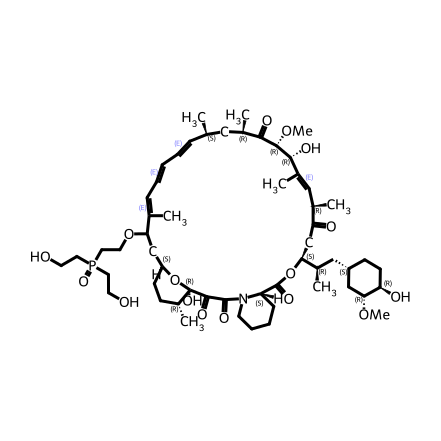 CO[C@@H]1C[C@H](C[C@@H](C)[C@@H]2CC(=O)[C@H](C)/C=C(\C)[C@@H](O)[C@@H](OC)C(=O)[C@H](C)C[C@H](C)/C=C/C=C/C=C(\C)C(OCCP(=O)(CCO)CCO)C[C@@H]3CC[C@@H](C)[C@@](O)(O3)C(=O)C(=O)N3CCCC[C@H]3C(=O)O2)CC[C@H]1O